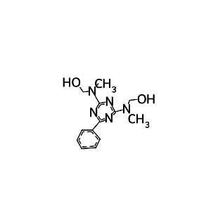 CN(CO)c1nc(-c2ccccc2)nc(N(C)CO)n1